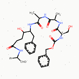 CC(NC(=O)C(C)NC(=O)[C@@H](CO)NC(=O)OCc1ccccc1)C(=O)NC(Cc1ccccc1)C(O)CCC(=O)NC([C]=O)C(C)C